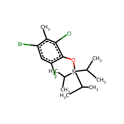 Cc1c(Br)cc(F)c(O[Si](C(C)C)(C(C)C)C(C)C)c1Cl